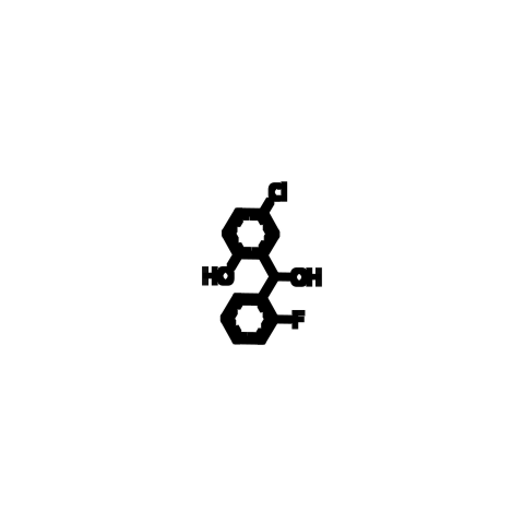 Oc1ccc(Cl)cc1C(O)c1ccccc1F